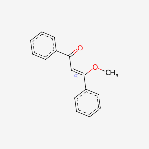 CO/C(=C\C(=O)c1ccccc1)c1ccccc1